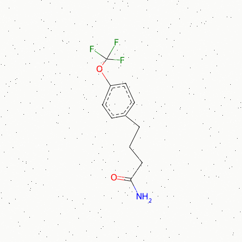 NC(=O)CCCc1ccc(OC(F)(F)F)cc1